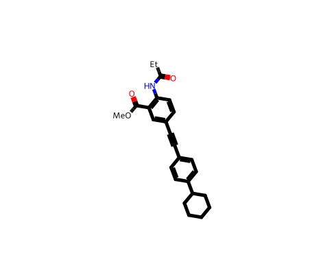 CCC(=O)Nc1ccc(C#Cc2ccc(C3CCCCC3)cc2)cc1C(=O)OC